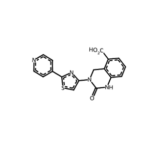 O=C(O)c1cccc2c1CN(c1csc(-c3ccncc3)n1)C(=O)N2